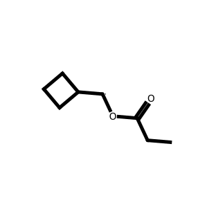 CCC(=O)O[CH]C1CCC1